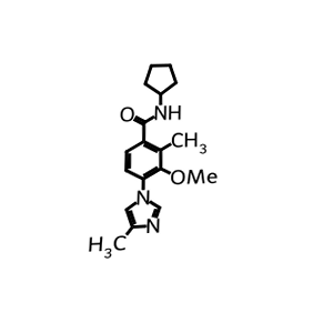 COc1c(-n2cnc(C)c2)ccc(C(=O)NC2CCCC2)c1C